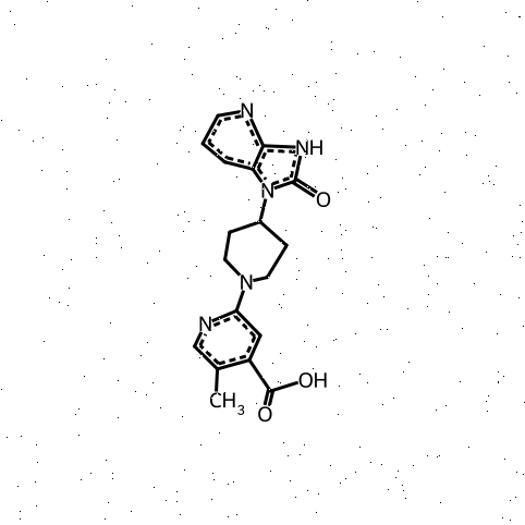 Cc1cnc(N2CCC(n3c(=O)[nH]c4ncccc43)CC2)cc1C(=O)O